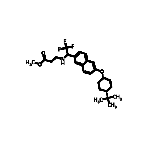 COC(=O)CCNC(c1ccc2cc(O[C@H]3CC[C@H](C(C)(C)C)CC3)ccc2c1)C(F)(F)F